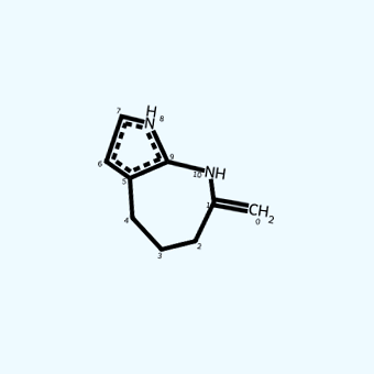 C=C1CCCc2cc[nH]c2N1